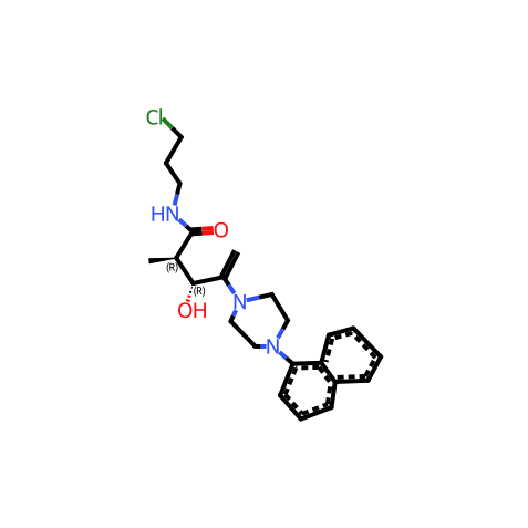 C=C([C@H](O)[C@@H](C)C(=O)NCCCCl)N1CCN(c2cccc3ccccc23)CC1